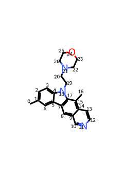 Cc1ccc2c(c1)c1cc3cnccc3c(C)c1n2CCN1CCOCC1